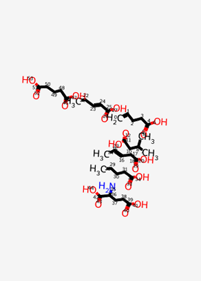 C=CCCC(=O)O.CC(C)CC(=O)O.CC=CCC(=O)O.CCC=CC(=O)O.CCCCC(=O)O.NC(CCC(=O)O)C(=O)O.O=C(O)CCCC(=O)O